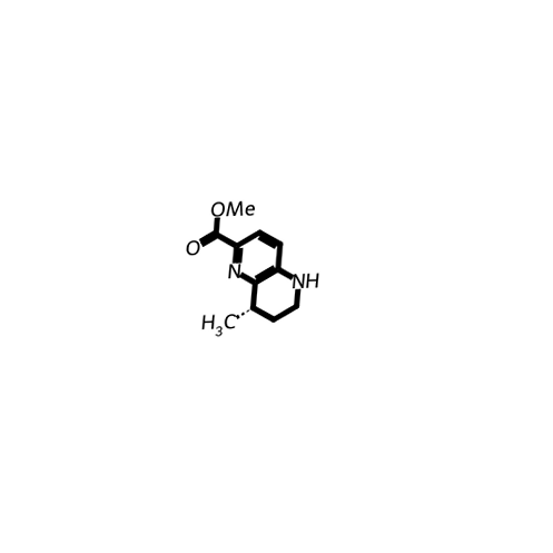 COC(=O)c1ccc2c(n1)[C@@H](C)CCN2